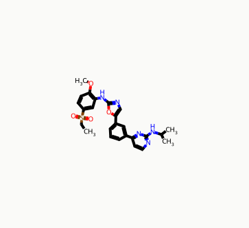 CCS(=O)(=O)c1ccc(OC)c(Nc2ncc(-c3cccc(-c4ccnc(NC(C)C)n4)c3)o2)c1